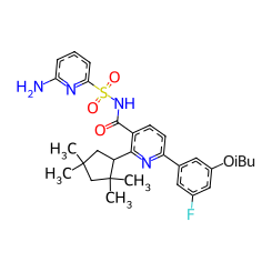 CC(C)COc1cc(F)cc(-c2ccc(C(=O)NS(=O)(=O)c3cccc(N)n3)c(C3CC(C)(C)CC3(C)C)n2)c1